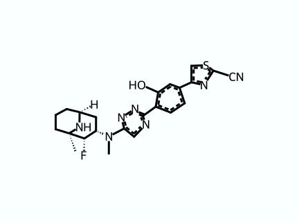 CN(c1cnc(-c2ccc(-c3csc(C#N)n3)cc2O)nn1)[C@H]1C[C@@H]2CCC[C@@](C)(N2)[C@H]1F